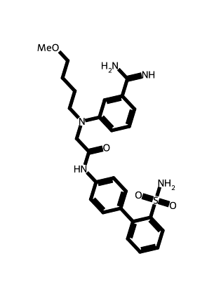 COCCCCN(CC(=O)Nc1ccc(-c2ccccc2S(N)(=O)=O)cc1)c1cccc(C(=N)N)c1